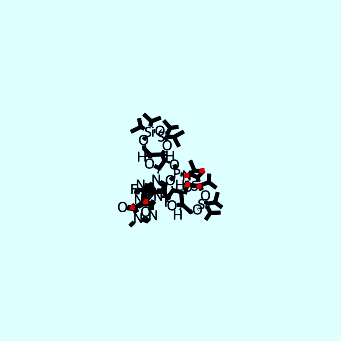 CC(C)N(C(C)C)P(O[C@@H]1[C@@H]2O[Si](C(C)C)(C(C)C)O[Si](C(C)C)(C(C)C)OC[C@H]2O[C@H]1n1cc(F)c2c(=O)n(C)cnc21)O[C@@H]1[C@@H]2O[Si](C(C)C)(C(C)C)O[Si](C(C)C)(C(C)C)OC[C@H]2O[C@H]1n1cc(F)c2c(=O)n(C)cnc21